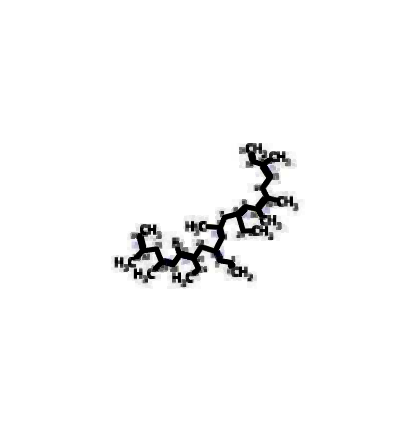 C=C/C=C(\C=C(/C)C/C(=C/C(C)=C(/C)C/C=C(/C)C=C)CC)C/C(CC)=C(F)/C=C(/C)C/C(C)=C\C